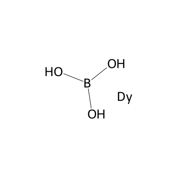 OB(O)O.[Dy]